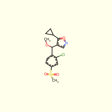 COC(c1ccc(S(C)(=O)=O)cc1Cl)c1cnoc1C1CC1